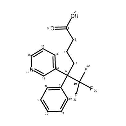 O=C(O)CCCC(c1ccccc1)(c1cccnc1)C(F)(F)F